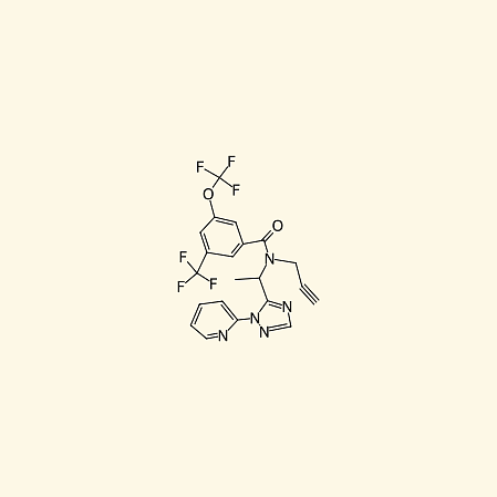 C#CCN(C(=O)c1cc(OC(F)(F)F)cc(C(F)(F)F)c1)C(C)c1ncnn1-c1ccccn1